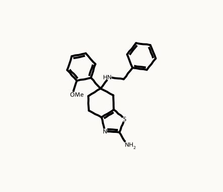 COc1ccccc1C1(NCc2ccccc2)CCc2nc(N)sc2C1